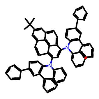 CC(C)(C)c1cc2ccc3c(N(c4ccccc4)c4ccc(-c5ccccc5)cc4-c4ccccc4)cc(N(c4ccccc4)c4ccc(-c5ccccc5)cc4-c4ccccc4)c4ccc(c1)c2c34